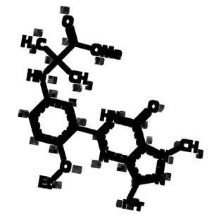 CCCc1nn(C)c2c(=O)[nH]c(-c3cc(NC(C)(C)C(=O)OC)ccc3OCC)nc12